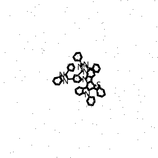 c1ccc(-c2nc(-c3ccccc3)nc(-c3cc(-c4nc5ccccc5nc4-c4ccccc4)ccc3-n3c4ccccc4c4c5sc6ccccc6c5c5c(c6ccccc6n5-c5ccccc5)c43)n2)cc1